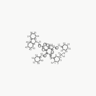 Cc1ccc(C(C)(C)C)cc1S[C@@H]1O[C@H](COCc2ccccc2)[C@@H](O)[C@H](OC(=O)OCC2c3ccccc3-c3ccccc32)[C@H]1OCc1ccccc1